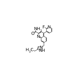 CCc1cn(Cc2ccc3c(-c4cccnc4F)cc(C(N)=O)nc3c2)[nH]1